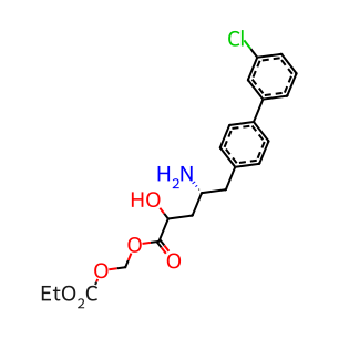 CCOC(=O)OCOC(=O)C(O)C[C@H](N)Cc1ccc(-c2cccc(Cl)c2)cc1